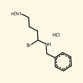 CCCCCCCCCCCC(Br)NCc1ccccc1.Cl